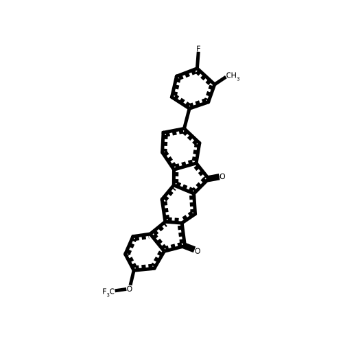 Cc1cc(-c2ccc3c(c2)c(=O)c2cc4c(=O)c5cc(OC(F)(F)F)ccc5c4cc23)ccc1F